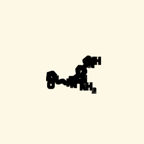 Nc1nc2cc(-c3cc[nH]n3)ccc2c2cn(CCCn3ccccc3=O)nc12